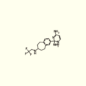 NC1=NC(N)(c2ccc3c(c2)CCC(NCC(F)(F)F)CC3)NC=C1